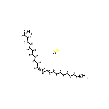 CCCCCCCCCCC[CH2][Sn+2][CH2]CCCCCCCCCCC.[S-2]